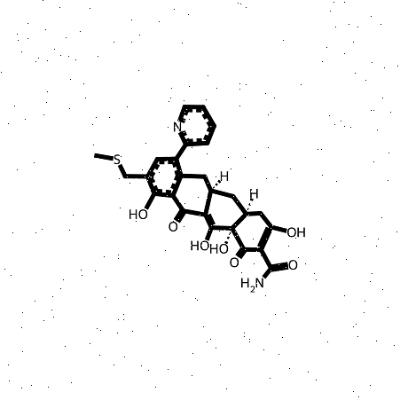 CSCc1cc(-c2ccccn2)c2c(c1O)C(=O)C1=C(O)[C@]3(O)C(=O)C(C(N)=O)=C(O)C[C@@H]3C[C@@H]1C2